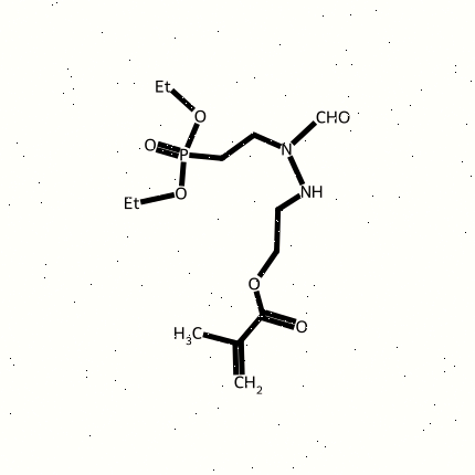 C=C(C)C(=O)OCCNN(C=O)CCP(=O)(OCC)OCC